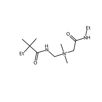 CCNC(=O)C[N+](C)(C)CNC(=O)C(C)(C)CC